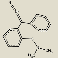 CN(C)Sc1ccccc1C(=[N+]=[N-])c1ccccc1